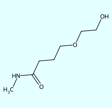 CNC(=O)CCCOCCO